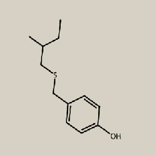 CCC(C)CSCc1ccc(O)cc1